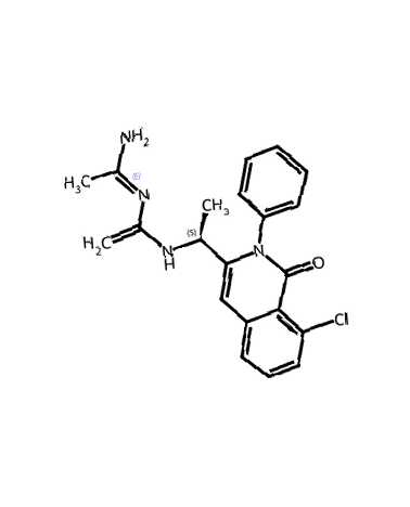 C=C(/N=C(\C)N)N[C@@H](C)c1cc2cccc(Cl)c2c(=O)n1-c1ccccc1